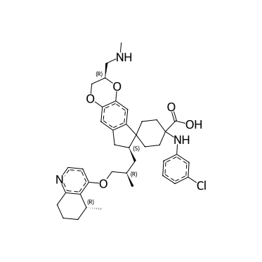 CNC[C@@H]1COc2cc3c(cc2O1)C1(CCC(Nc2cccc(Cl)c2)(C(=O)O)CC1)[C@@H](C[C@@H](C)COc1ccnc2c1[C@H](C)CCC2)C3